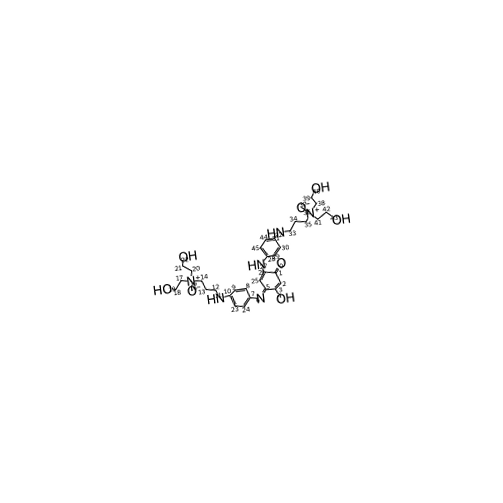 O=C1C=C(O)/C(=N/c2ccc(NCCC[N+]([O-])(CCO)CCO)cc2)C=C1Nc1ccc(NCCC[N+]([O-])(CCO)CCO)cc1